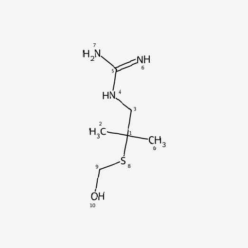 CC(C)(CNC(=N)N)SCO